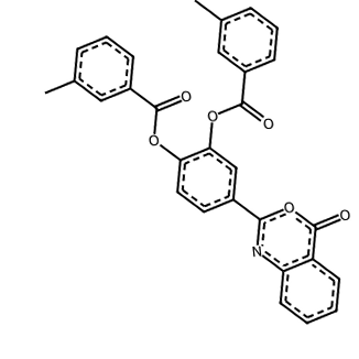 Cc1cccc(C(=O)Oc2ccc(-c3nc4ccccc4c(=O)o3)cc2OC(=O)c2cccc(C)c2)c1